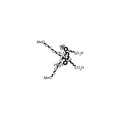 COCCOCCOCCOCCOCCOCCC1(C)C(/C=C/C=C2/N(CCCS(=O)(=O)O)c3ccc(S(=O)(=O)[O-])cc3C2(C)CCOCCOCCOCCOCCOCCOC)=[N+](CCCCCC(=O)O)c2ccc(S(=O)(=O)O)cc21